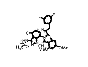 COc1cc(OC)c2c(=O)n(-c3ccc(Cl)c4c(NS(C)(=O)=O)nn(C)c34)c([C@@H](N)Cc3cc(F)cc(F)c3)nc2c1